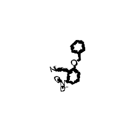 N#Cc1c(OCc2ccccc2)cccc1[N+](=O)[O-]